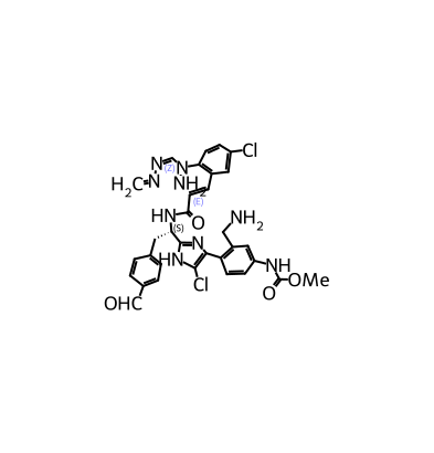 C=N/N=C\N(N)c1ccc(Cl)cc1/C=C/C(=O)N[C@@H](Cc1ccc(C=O)cc1)c1nc(-c2ccc(NC(=O)OC)cc2CN)c(Cl)[nH]1